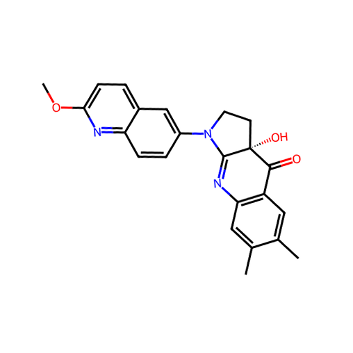 COc1ccc2cc(N3CC[C@@]4(O)C(=O)c5cc(C)c(C)cc5N=C34)ccc2n1